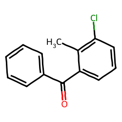 Cc1c(Cl)cccc1C(=O)c1ccccc1